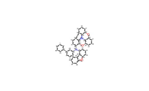 c1ccc(-c2cccc(N(c3ccc4c5cccc6c5n5c4c3Oc3cccc(c3-5)O6)c3cccc4oc5ccccc5c34)c2)cc1